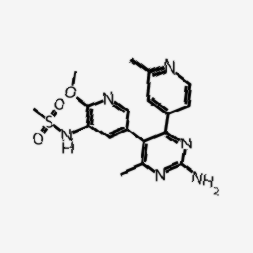 COc1ncc(-c2c(C)nc(N)nc2-c2ccnc(C)c2)cc1NS(C)(=O)=O